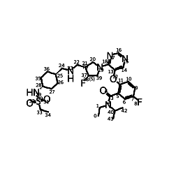 CCN(C(=O)c1cc(F)ccc1Oc1cncnc1N1C[C@H](CNC[C@H]2CC[C@H](NS(=O)(=O)CC)CC2)[C@H](F)C1)C(C)C